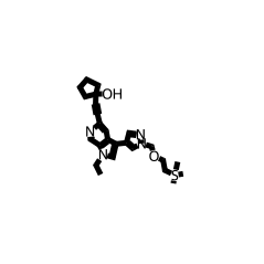 CCn1cc(-c2cnn(COCCS(C)(C)C)c2)c2cc(C#CC3(O)CCCC3)ncc21